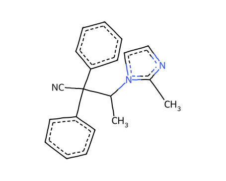 Cc1nccn1C(C)C(C#N)(c1ccccc1)c1ccccc1